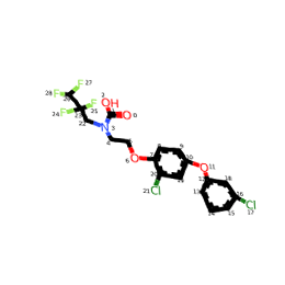 O=C(O)N(CCOc1ccc(Oc2cccc(Cl)c2)cc1Cl)CC(F)(F)C(F)F